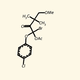 COCC(C)(C)C(=O)C(Br)(OC(C)=O)Oc1ccc(Cl)cc1